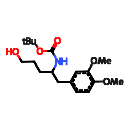 COc1ccc(CC(CCCO)NC(=O)OC(C)(C)C)cc1OC